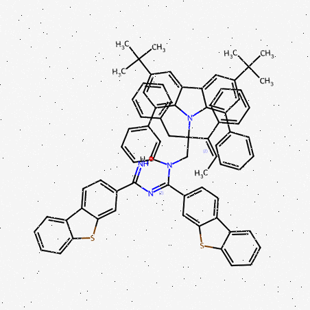 C/C=C(/c1ccccc1)C(Cc1ccccc1)(CN(C)/C(=N\C(=N)c1ccc2c(c1)sc1ccccc12)c1ccc2c(c1)sc1ccccc12)n1c2c(-c3ccccc3)cc(C(C)(C)C)cc2c2cc(C(C)(C)C)cc(-c3ccccc3)c21